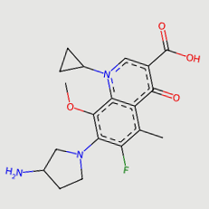 COc1c(N2CCC(N)C2)c(F)c(C)c2c(=O)c(C(=O)O)cn(C3CC3)c12